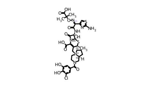 C[C@@H]1S[C@@H]2[C@H](NC(=O)/C(=N\OC(C)(C)C(=O)O)c3csc(N)n3)C(=O)N2C(C(=O)O)=C1C[N+]12CCC[C@H]1CN(C(=O)c1cc(O)c(O)c(Cl)c1)CC2